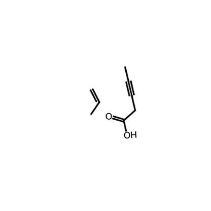 C=CC.CC#CCC(=O)O